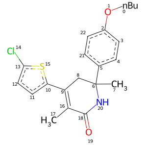 CCCCOc1ccc(C2(C)CC(c3ccc(Cl)s3)=C(C)C(=O)N2)cc1